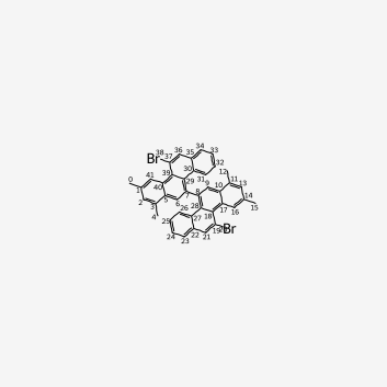 Cc1cc(C)c2cc(-c3cc4c(C)cc(C)cc4c4c(Br)cc5ccccc5c34)c3c4ccccc4cc(Br)c3c2c1